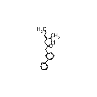 C=C/C=C(/CC(=O)Cc1cccc(-c2ccccc2)c1)C(=C)Cl